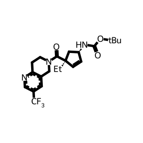 [CH2]C[C@@]1(C(=O)N2CCc3ncc(C(F)(F)F)cc3C2)C=C[C@@H](NC(=O)OC(C)(C)C)C1